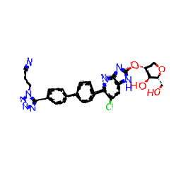 N#CCCn1nnnc1-c1ccc(-c2ccc(-c3nc4nc(O[C@@H]5CO[C@H](CO)[C@H]5O)[nH]c4cc3Cl)cc2)cc1